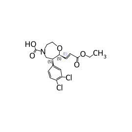 CCOC(=O)/C=C/[C@@H]1OCCN(C(=O)O)C[C@@H]1c1ccc(Cl)c(Cl)c1